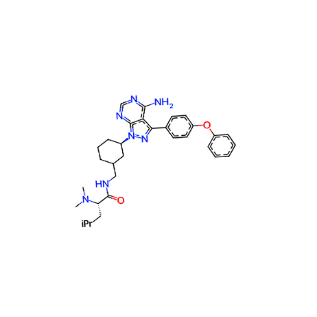 CC(C)C[C@@H](C(=O)NCC1CCC[C@@H](n2nc(-c3ccc(Oc4ccccc4)cc3)c3c(N)ncnc32)C1)N(C)C